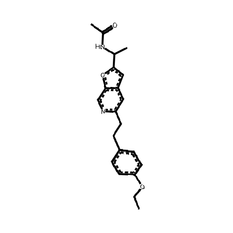 CCOc1ccc(CCc2cc3cc(C(C)NC(C)=O)oc3cn2)cc1